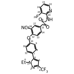 CCn1nc(C(F)(F)F)cc1-c1ccc(Oc2ccc(S(=O)(=O)Nc3ncccc3F)cc2C#N)cc1